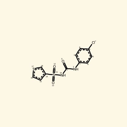 O=C(Nc1ccc(Cl)cc1)NS(=O)(=O)c1ccsc1